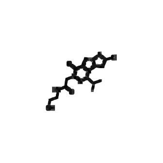 CC(C)c1nn(CC(=O)NCCO)c(=O)c2cc3sc(Cl)cc3n12